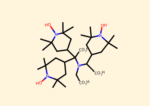 CC1(C)CC(C(C(=O)O)N(CC(=O)O)C(C(=O)O)(C2CC(C)(C)N(O)C(C)(C)C2)C2CC(C)(C)N(O)C(C)(C)C2)CC(C)(C)N1O